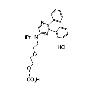 CC(C)N(CCOCCOCC(=O)O)c1cnc(-c2ccccc2)c(-c2ccccc2)n1.Cl